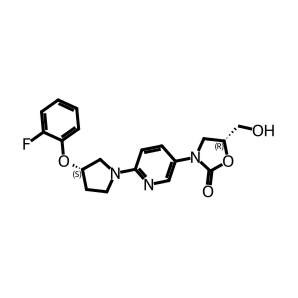 O=C1O[C@@H](CO)CN1c1ccc(N2CC[C@H](Oc3ccccc3F)C2)nc1